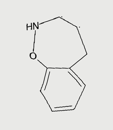 [CH]1[CH]NOc2ccccc2C1